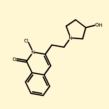 O=c1c2ccccc2cc(CCN2CCC(O)C2)n1Cl